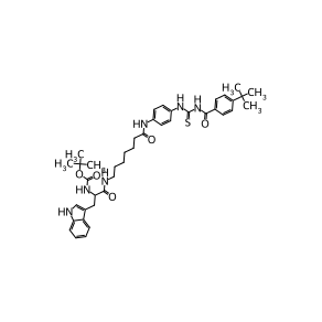 CC(C)(C)OC(=O)NC(Cc1c[nH]c2ccccc12)C(=O)NCCCCCCC(=O)Nc1ccc(NC(=S)NC(=O)c2ccc(C(C)(C)C)cc2)cc1